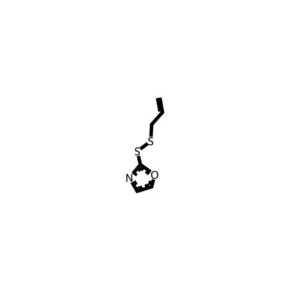 C=CCSSc1ncco1